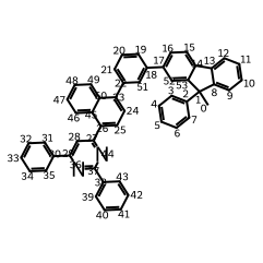 CC1(c2ccccc2)c2ccccc2-c2ccc(-c3cccc(-c4ccc(-c5cc(-c6ccccc6)nc(-c6ccccc6)n5)c5ccccc45)c3)cc21